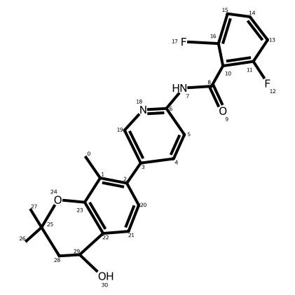 Cc1c(-c2ccc(NC(=O)c3c(F)cccc3F)nc2)ccc2c1OC(C)(C)CC2O